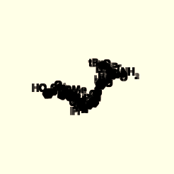 CC[C@H](C)[C@@H]([C@@H](CC(=O)N1CCC[C@H]1[C@H](OC)[C@@H](C)C(=O)N[C@@H](Cc1ccccc1)C(=O)O)OC)N(C)C(=O)[C@@H](NC(=O)[C@H](C(C)C)N(C)CCc1ccc(N(C)C(=O)OCc2ccc(NC(=O)[C@H](CCCNC(N)=O)NC(=O)C(NC(=O)OC(C)(C)C)C(C)C)cc2)cc1)C(C)C